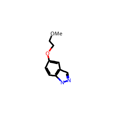 COCCOc1ccc2c(c1)C=N[N]2